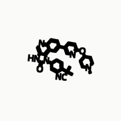 CN1CCC(Oc2ccc(-c3ccc4ncc5[nH]c(=O)n(C6C=CC(C(C)(C)C#N)=CC6)c5c4c3)cn2)CC1